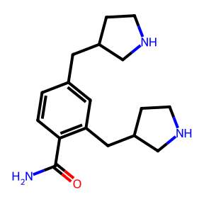 NC(=O)c1ccc(CC2CCNC2)cc1CC1CCNC1